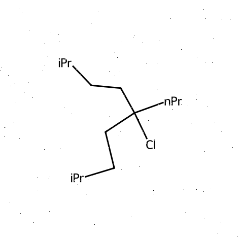 CCCC(Cl)(CCC(C)C)CCC(C)C